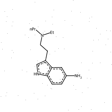 CCCN(CC)CCc1c[nH]c2ccc(N)cc12